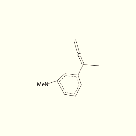 C=C=C(C)c1cccc(NC)c1